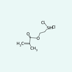 C=C(C)C(=O)OCC[SiH](Cl)Cl